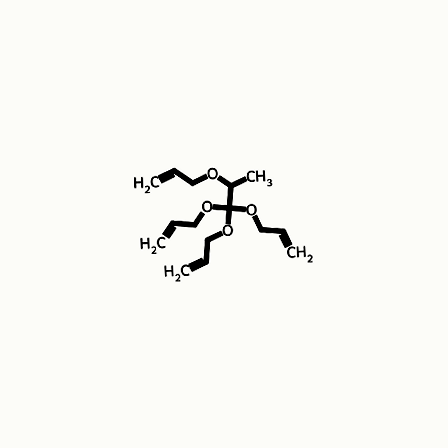 C=CCOC(C)C(OCC=C)(OCC=C)OCC=C